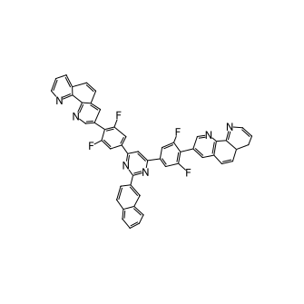 Fc1cc(-c2cc(-c3cc(F)c(-c4cnc5c(ccc6cccnc65)c4)c(F)c3)nc(-c3ccc4ccccc4c3)n2)cc(F)c1-c1cnc2c(c1)C=CC1CC=CN=C21